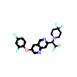 Fc1ccc(Oc2cnc3cc(C(C(F)F)N4CCC(F)(F)CC4)ncc3c2)c(F)c1